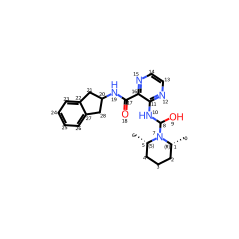 C[C@@H]1CCC[C@H](C)N1C(O)Nc1nccnc1C(=O)NC1Cc2ccccc2C1